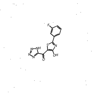 O=C(c1nnn[nH]1)c1sc(-c2cccc(F)c2)nc1O